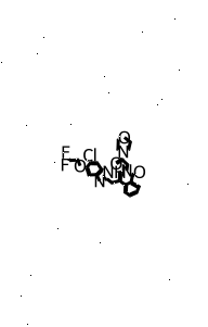 O=C(Cn1cc(Cc2nc3cc(OCC(F)F)c(Cl)cc3[nH]2)c2ccccc2c1=O)N1CCOCC1